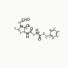 CC1CC(NC(=O)CNC(=O)CCc2ccccc2)C(=O)N1CC=O